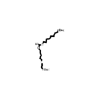 CCCCCCCCCCCCCCCCCCO[C](CC)OCCCCCCCCCCCCCCCCCC